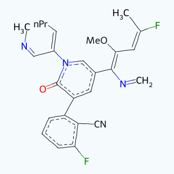 C=N/C(=C(\C=C(/C)F)OC)c1cc(-c2cccc(F)c2C#N)c(=O)n(C(/C=N\C)=C/CCC)c1